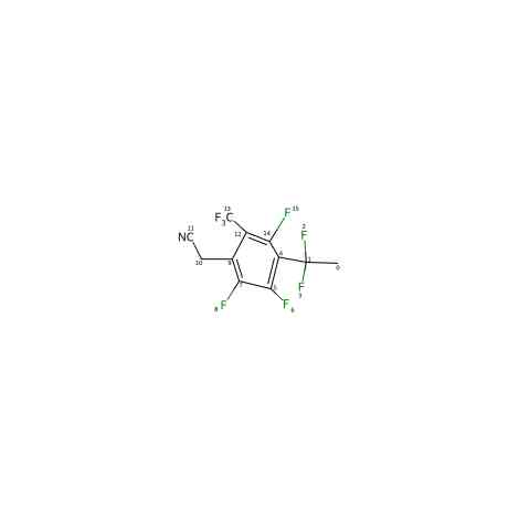 CC(F)(F)c1c(F)c(F)c(CC#N)c(C(F)(F)F)c1F